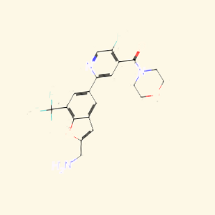 NCc1cc2cc(-c3cc(C(=O)N4CCOCC4)c(F)cn3)cc(C(F)(F)F)c2o1